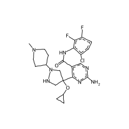 CN1CCC(N2CC(OC3CC3)(c3nc(N)ncc3C(=O)Nc3c(Cl)ccc(F)c3F)CN2)CC1